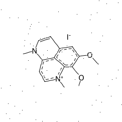 COc1cc2c3c(cc[n+](C)c3c1OC)N(C)C=C2.[I-]